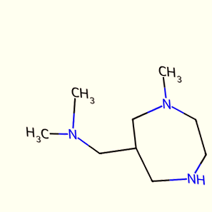 CN(C)CC1CNCCN(C)C1